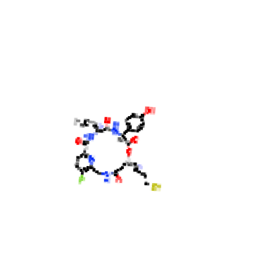 C/C=C1\NC(=O)c2ccc(F)c(n2)CNC(=O)C[C@@H](/C=C/CCS)OC(=O)[C@H](c2ccc(O)cc2)NC1=O